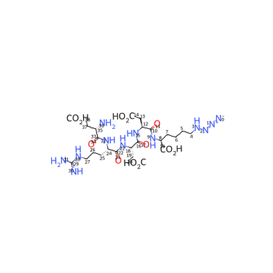 [N-]=[N+]=NNCCCC[C@H](NC(=O)[C@H](CC(=O)O)NC(=O)[C@H](CC(=O)O)NC(=O)[C@H](CCCNC(=N)N)NC(=O)[C@@H](N)CC(=O)O)C(=O)O